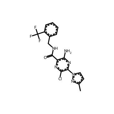 Cc1ccn(-c2nc(N)c(C(=O)NCc3ccccc3C(F)(F)F)nc2Cl)n1